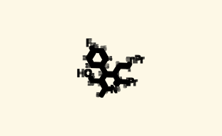 CCCC=Cc1c(C(C)C)nc(C)c(CO)c1-c1ccc(F)cc1